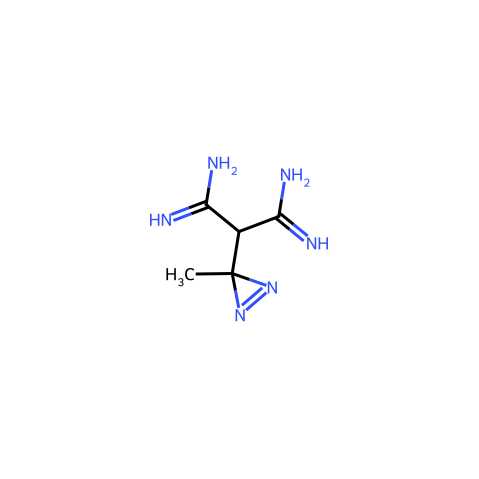 CC1(C(C(=N)N)C(=N)N)N=N1